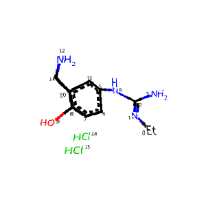 CCN=C(N)Nc1ccc(O)c(CN)c1.Cl.Cl